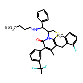 CCOC(=O)CCCNC(c1ccccc1)C1CSc2c(Cc3c(F)cccc3C(F)(F)F)c(C)c(-c3cccc(C(C)(F)F)c3)c(=O)n21